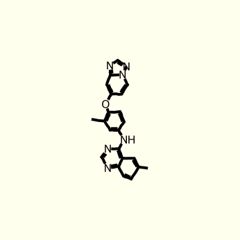 Cc1ccc2ncnc(Nc3ccc(Oc4ccn5ncnc5c4)c(C)c3)c2c1